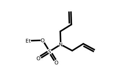 C=CCN(CC=C)S(=O)(=O)OCC